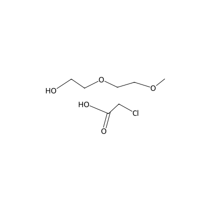 COCCOCCO.O=C(O)CCl